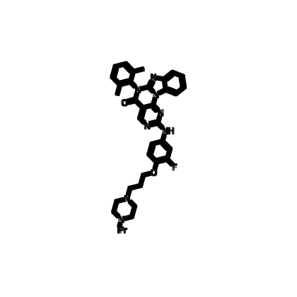 Cc1cccc(C)c1-n1c(=O)c2cnc(Nc3ccc(OCCCN4CCN(C(C)C)CC4)c(F)c3)nc2n2c3ccccc3nc12